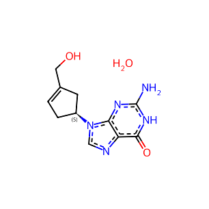 Nc1nc2c(ncn2[C@H]2CC=C(CO)C2)c(=O)[nH]1.O